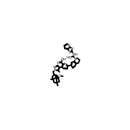 COC12CC3(C)CC(C)(CC(Cn4ncc(-c5ccc(-c6ccc7c(c6)N(C(O)Nc6nc8ncccc8s6)CCC7)nc5C(=O)O)c4C)(C3)C1)C2